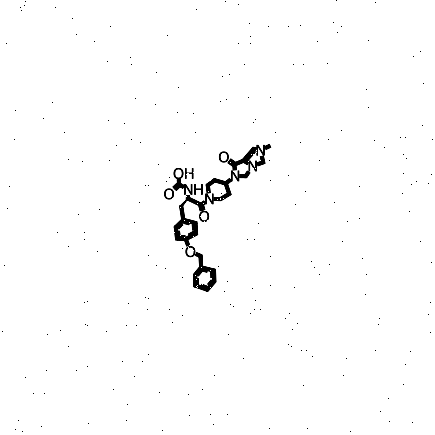 CN1C=C2C(=O)N(C3CCN(C(=O)[C@@H](Cc4ccc(OCc5ccccc5)cc4)NC(=O)O)CC3)CN2C1